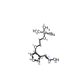 CC(C)(C)[Si](C)(C)OCCOc1nonc1/C=N/O